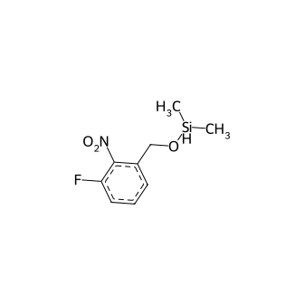 C[SiH](C)OCc1cccc(F)c1[N+](=O)[O-]